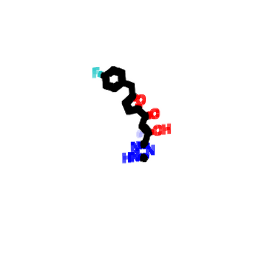 O=C(/C=C(\O)c1nc[nH]n1)c1ccc(Cc2ccc(F)cc2)o1